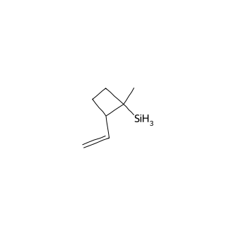 C=CC1CCC1(C)[SiH3]